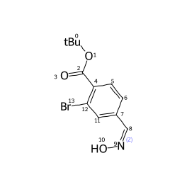 CC(C)(C)OC(=O)c1ccc(/C=N\O)cc1Br